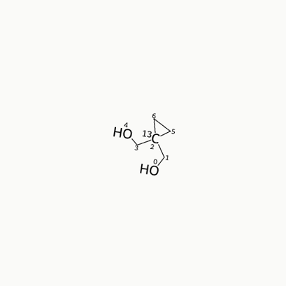 OC[13C]1(CO)CC1